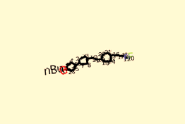 CCCCOc1ccc(C2CCC(CCC3CCC(CC/C=C/F)CC3)CC2)cc1